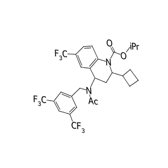 CC(=O)N(Cc1cc(C(F)(F)F)cc(C(F)(F)F)c1)C1CC(C2CCC2)N(C(=O)OC(C)C)c2ccc(C(F)(F)F)cc21